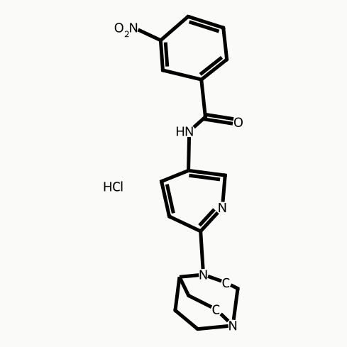 Cl.O=C(Nc1ccc(N2CCN3CCC2CC3)nc1)c1cccc([N+](=O)[O-])c1